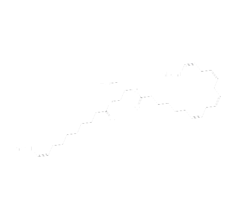 CCCCC/C=C\C/C=C\C/C=C\C/C=C\CCCCCC(=O)O[C@@H](CO)COC(=O)CCCCCCC/C=C\CCCCCCCC